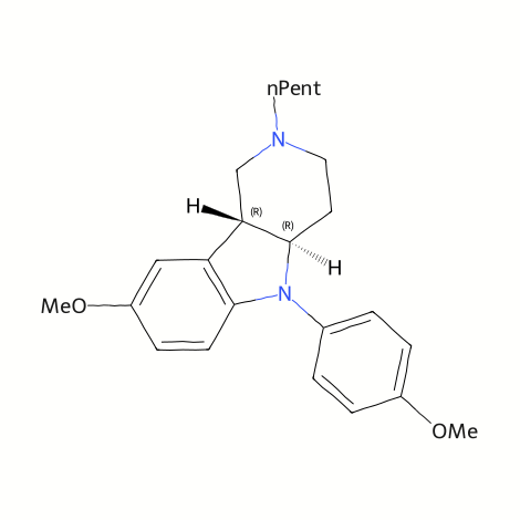 CCCCCN1CC[C@@H]2[C@@H](C1)c1cc(OC)ccc1N2c1ccc(OC)cc1